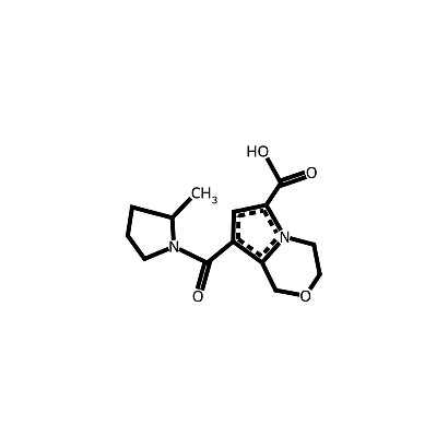 CC1CCCN1C(=O)c1cc(C(=O)O)n2c1COCC2